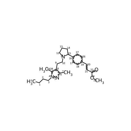 CCCCn1nc(C)c(CCN2CCCC2c2ccc(C=CC(=O)OC)cc2)c1C